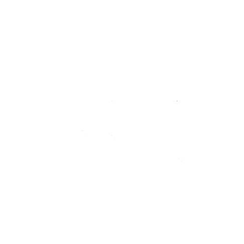 C#Cc1ccc2c(c1)[nH]c1c2c(=O)c2cc(OC)c(-c3cncc(S(=O)(=O)F)c3)cc2n1CCCC